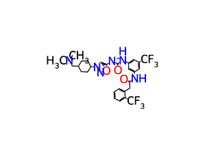 CN(C)CC1CCC([n+]2cc([N-]C(=O)Nc3cc(NC(=O)Cc4ccccc4C(F)(F)F)cc(C(F)(F)F)c3)on2)CC1